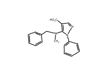 CN(Cc1ccccc1)c1c(C(=O)O)cnn1-c1ccccc1